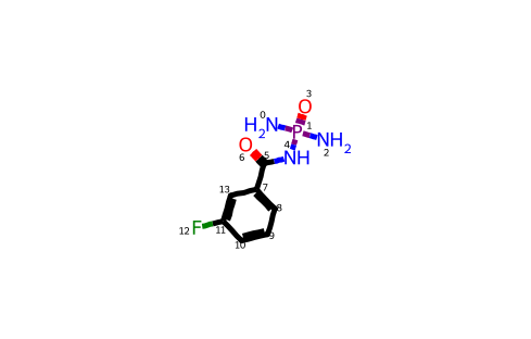 NP(N)(=O)NC(=O)c1cccc(F)c1